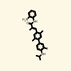 C/C(=C\c1cc(C)c(-c2ccc(NC(C)C)c(F)c2)cc1C)C(=O)Nc1ccccc1N